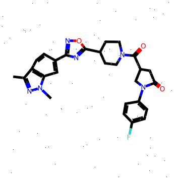 Cc1nn(C)c2cc(-c3noc(C4CCN(C(=O)C5CC(=O)N(c6ccc(F)cc6)C5)CC4)n3)ccc12